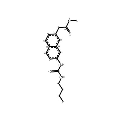 CCCCNC(=O)Nc1ccc2ccc(CC(=O)OC)cc2c1